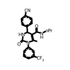 CCCNC(=O)C1=C(C)N(c2cccc(C(F)(F)F)c2)C(=O)NC1c1ccc(C#N)cc1